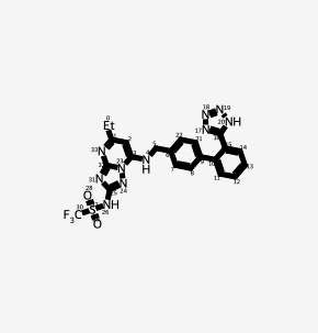 CCc1cc(NCc2ccc(-c3ccccc3-c3nnn[nH]3)cc2)n2nc(NS(=O)(=O)C(F)(F)F)nc2n1